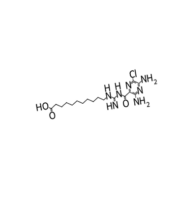 N=C(NCCCCCCCCCCC(=O)O)NC(=O)c1nc(Cl)c(N)nc1N